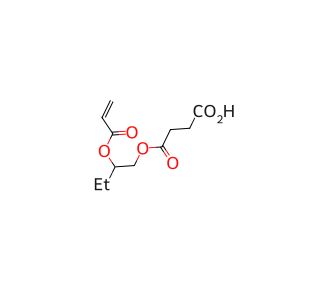 C=CC(=O)OC(CC)COC(=O)CCC(=O)O